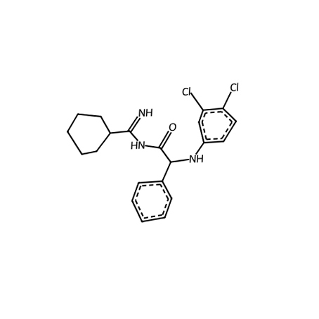 N=C(NC(=O)C(Nc1ccc(Cl)c(Cl)c1)c1ccccc1)C1CCCCC1